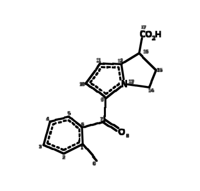 Cc1ccccc1C(=O)c1ccc2n1CCC2C(=O)O